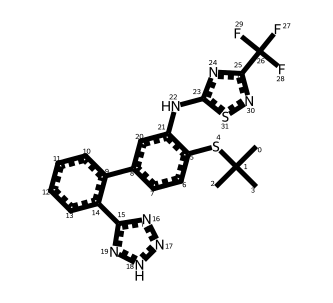 CC(C)(C)Sc1ccc(-c2ccccc2-c2nn[nH]n2)cc1Nc1nc(C(F)(F)F)ns1